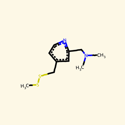 CSSCc1ccnc(CN(C)C)c1